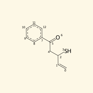 C=CC(S)CC(=O)c1ccccc1